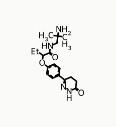 CCC(Oc1ccc(C2=NNC(=O)CC2)cc1)C(=O)NCC(C)(C)N